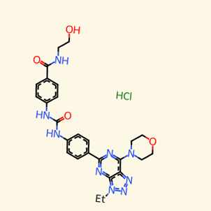 CCn1nnc2c(N3CCOCC3)nc(-c3ccc(NC(=O)Nc4ccc(C(=O)NCCO)cc4)cc3)nc21.Cl